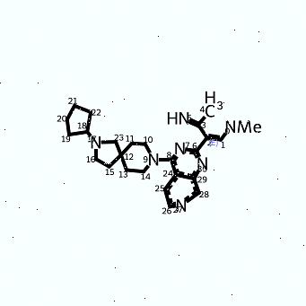 CN/C=C(\C(C)=N)c1nc(N2CCC3(CC2)CCN(C2CCCC2)C3)c2ccncc2n1